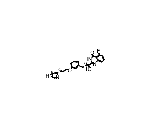 O=C(NCc1cccc(OCCSc2nc[nH]n2)c1)c1nc2cccc(F)c2c(=O)[nH]1